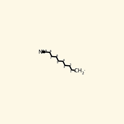 [CH2]CCCCCCCCC#N